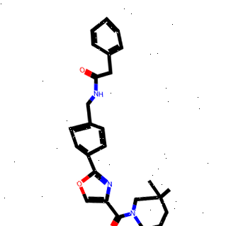 CC1(C)CCCN(C(=O)c2coc(-c3ccc(CNC(=O)Cc4ccccc4)cc3)n2)C1